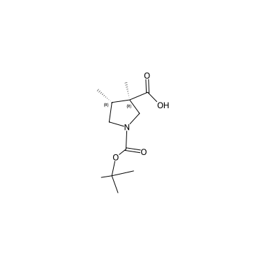 C[C@H]1CN(C(=O)OC(C)(C)C)C[C@]1(C)C(=O)O